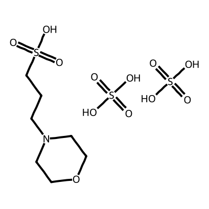 O=S(=O)(O)CCCN1CCOCC1.O=S(=O)(O)O.O=S(=O)(O)O